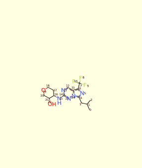 CC(C)Cc1nc(C(F)(F)F)c2cnc(NC3CCOCC3O)nn12